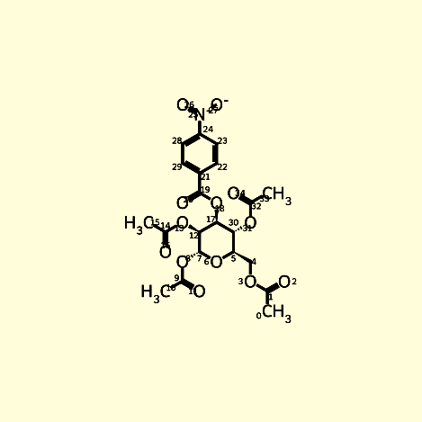 CC(=O)OC[C@H]1O[C@H](OC(C)=O)[C@@H](OC(C)=O)[C@@H](OC(=O)c2ccc([N+](=O)[O-])cc2)[C@@H]1OC(C)=O